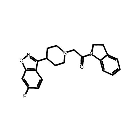 O=C(CN1CCC(c2noc3cc(F)ccc23)CC1)N1CCc2ccccc21